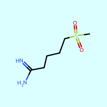 CS(=O)(=O)CCCCC(=N)N